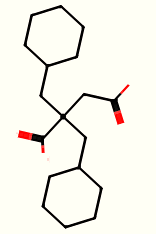 O=C(O)CC(CC1CCCCC1)(CC1CCCCC1)C(=O)O